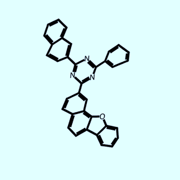 c1ccc(-c2nc(-c3ccc4ccccc4c3)nc(-c3ccc4ccc5c6ccccc6oc5c4c3)n2)cc1